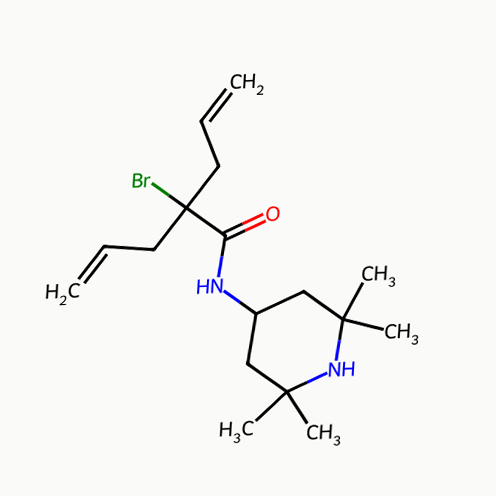 C=CCC(Br)(CC=C)C(=O)NC1CC(C)(C)NC(C)(C)C1